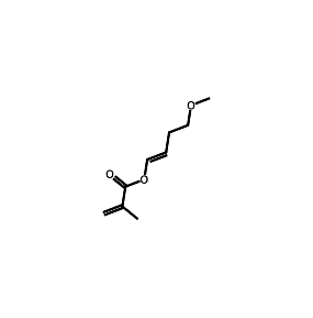 C=C(C)C(=O)OC=CCCOC